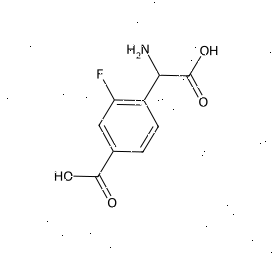 NC(C(=O)O)c1ccc(C(=O)O)cc1F